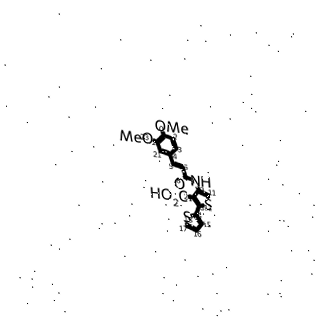 COc1ccc(/C=C/C(=O)Nc2csc(-c3cccs3)c2C(=O)O)cc1OC